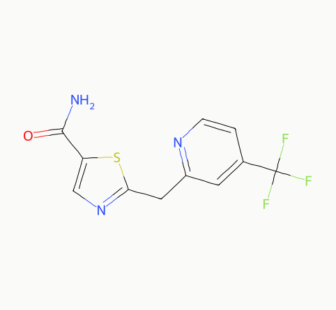 NC(=O)c1cnc(Cc2cc(C(F)(F)F)ccn2)s1